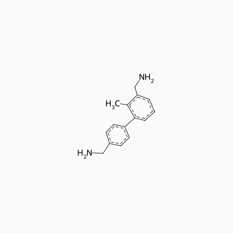 Cc1c(CN)cccc1-c1ccc(CN)cc1